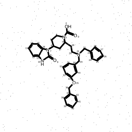 O=C(O)N1CCC(n2c(=O)[nH]c3ccccc32)CC1CCN(Cc1ccccc1)Cc1cccc(OCc2ccccc2)c1